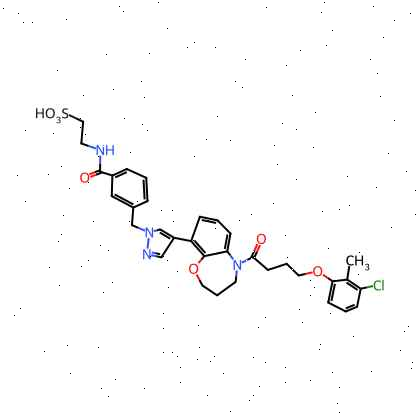 Cc1c(Cl)cccc1OCCCC(=O)N1CCCOc2c(-c3cnn(Cc4cccc(C(=O)NCCS(=O)(=O)O)c4)c3)cccc21